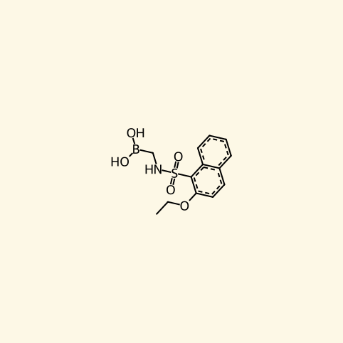 CCOc1ccc2ccccc2c1S(=O)(=O)NCB(O)O